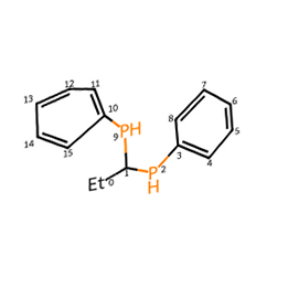 CCC(Pc1ccccc1)Pc1ccccc1